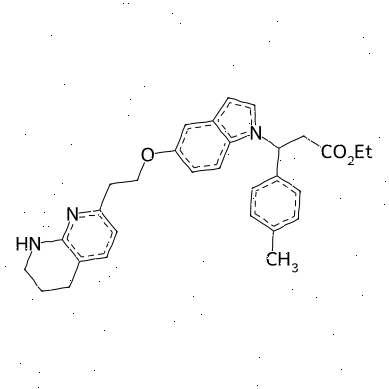 CCOC(=O)CC(c1ccc(C)cc1)n1ccc2cc(OCCc3ccc4c(n3)NCCC4)ccc21